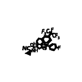 N#CC1(NC(=O)[C@@H]2CC[C@@]3(S(=O)(=O)c4ccc(F)cc4)c4ccc(C(F)(C(F)(F)F)C(F)(F)F)cc4CC[C@@H]23)CC1